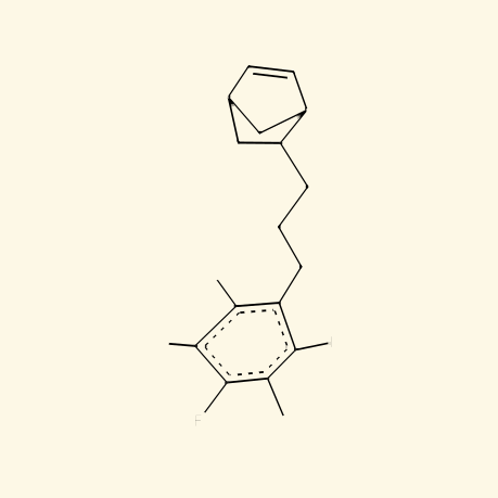 Fc1c(F)c(F)c(CCCC2CC3C=CC2C3)c(F)c1F